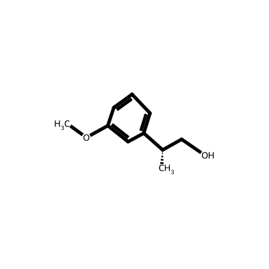 COc1cccc([C@@H](C)CO)c1